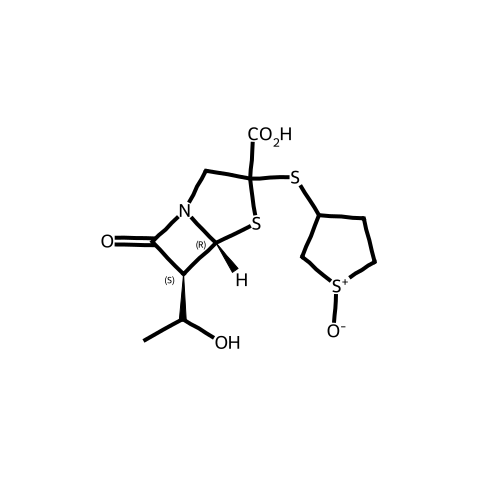 CC(O)[C@H]1C(=O)N2CC(SC3CC[S+]([O-])C3)(C(=O)O)S[C@H]12